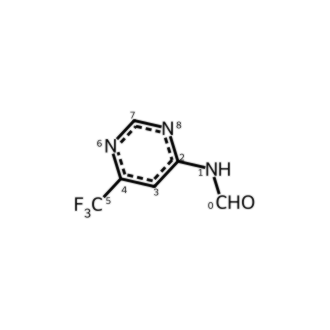 O=CNc1cc(C(F)(F)F)ncn1